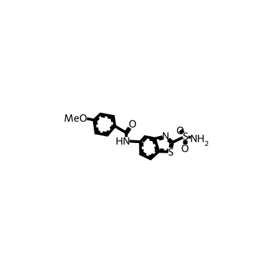 COc1ccc(C(=O)Nc2ccc3sc(S(N)(=O)=O)nc3c2)cc1